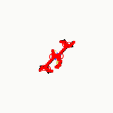 CCCCC(CC)COc1cc(CCCCCCCCCCn2c(=O)c3cc(-c4ccc(-c5ccc(C(C)(CC)CC)s5)s4)sc3c3cc4c(cc32)c2sc(C(C)(C)CC)cc2c(=O)n4CCCCCCCCCCc2cc(OCC(CC)CCCC)cc(OCC(CC)CCCC)c2)cc(OCC(CC)CCCC)c1